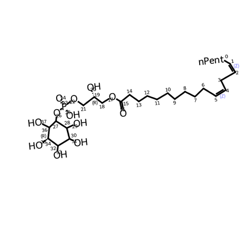 CCCCC/C=C\C/C=C\CCCCCCCCCC(=O)OC[C@@H](O)COP(=O)(O)OC1C(O)C(O)C(O)[C@@H](O)C1O